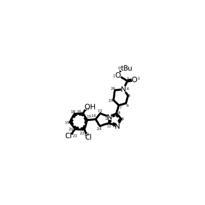 CC(C)(C)OC(=O)N1CCC(c2cnc3n2CC(c2c(O)ccc(Cl)c2Cl)C3)CC1